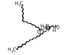 CCCCCCCC/C=C\CCCCCCCC(=O)NC(C/C=C/CCCCCCCCCCCCC)Cn1cc(CNC=O)nn1